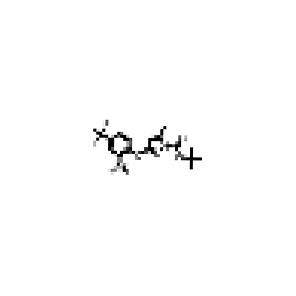 Cc1cc(Oc2ccc(C(F)(F)F)cc2[N+](=O)[O-])nn1C(=O)NC(C)(C)C